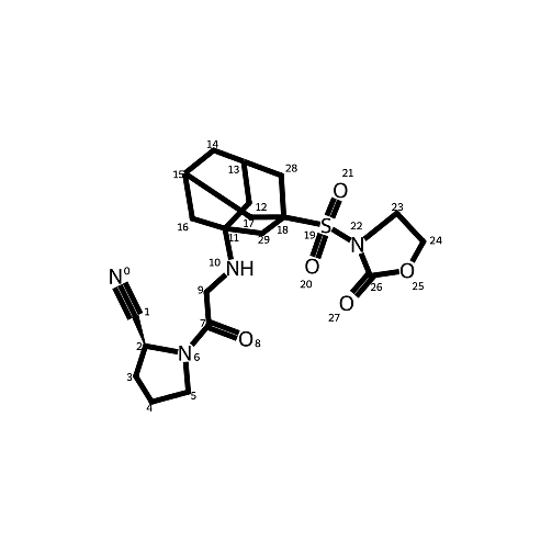 N#C[C@@H]1CCCN1C(=O)CNC12CC3CC(C1)CC(S(=O)(=O)N1CCOC1=O)(C3)C2